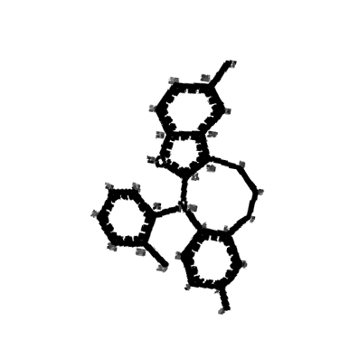 Cc1ccc2c(c1)CCCc1c(oc3ccc(C)cc13)N2c1ccccc1C